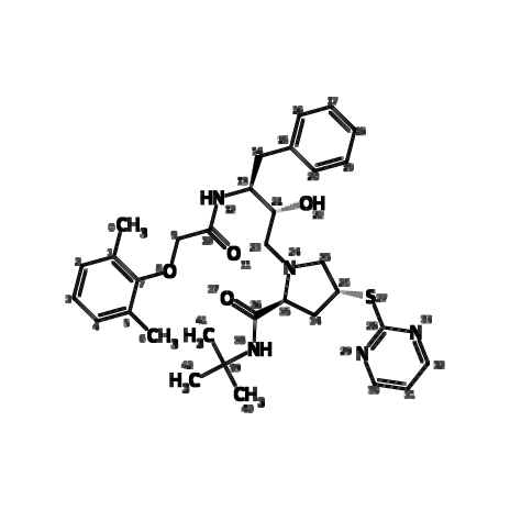 Cc1cccc(C)c1OCC(=O)N[C@@H](Cc1ccccc1)[C@H](O)CN1C[C@H](Sc2ncccn2)C[C@H]1C(=O)NC(C)(C)C